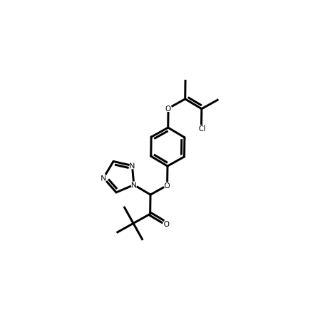 CC(Cl)=C(C)Oc1ccc(OC(C(=O)C(C)(C)C)n2cncn2)cc1